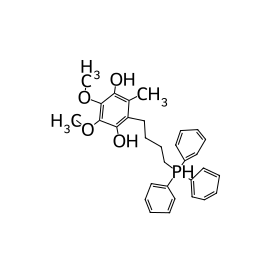 COc1c(O)c(C)c(CCCC[PH](c2ccccc2)(c2ccccc2)c2ccccc2)c(O)c1OC